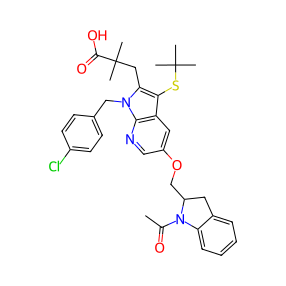 CC(=O)N1c2ccccc2CC1COc1cnc2c(c1)c(SC(C)(C)C)c(CC(C)(C)C(=O)O)n2Cc1ccc(Cl)cc1